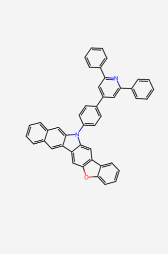 c1ccc(-c2cc(-c3ccc(-n4c5cc6ccccc6cc5c5cc6oc7ccccc7c6cc54)cc3)cc(-c3ccccc3)n2)cc1